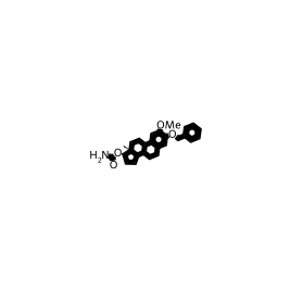 COc1cc2c(cc1OCc1ccccc1)CCC1C2CC[C@@]2(C)C1CC[C@@H]2OC(N)=O